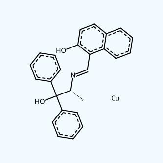 C[C@@H](N=Cc1c(O)ccc2ccccc12)C(O)(c1ccccc1)c1ccccc1.[Cu]